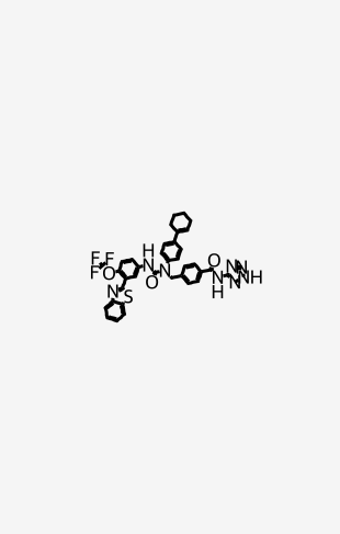 O=C(Nc1nn[nH]n1)c1ccc(CN(C(=O)Nc2ccc(OC(F)(F)F)c(-c3nc4ccccc4s3)c2)c2ccc(C3=CCCCC3)cc2)cc1